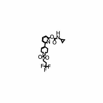 O=C(NC1CC1)Oc1cccc(C2=CCN(S(=O)(=O)CCC(F)(F)F)CC2)n1